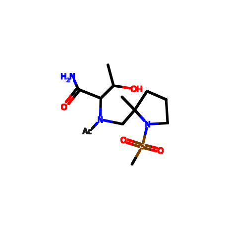 CC(=O)N(CC1(C)CCCN1S(C)(=O)=O)C(C(N)=O)C(C)O